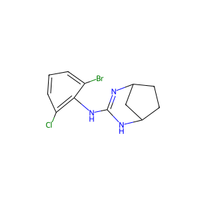 Clc1cccc(Br)c1NC1=NC2CCC(C2)N1